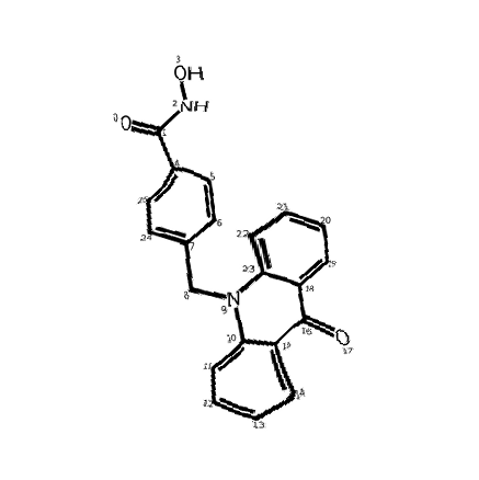 O=C(NO)c1ccc(Cn2c3ccccc3c(=O)c3ccccc32)cc1